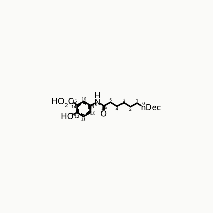 CCCCCCCCCCCCCCCC(=O)Nc1ccc(O)c(C(=O)O)c1